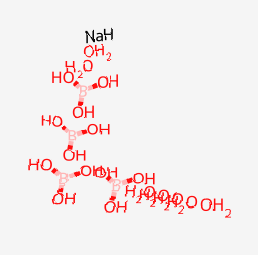 O.O.O.O.O.O.O.OB(O)O.OB(O)O.OB(O)O.OB(O)O.[NaH]